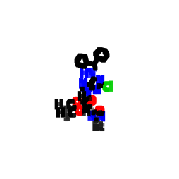 CCc1noc([C@H]2O[C@@H](n3cnc4c(NCC(c5ccccc5)c5ccccc5)nc(Cl)nc43)[C@@H]3OC(C)(C)O[C@@H]32)n1